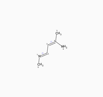 C/N=C/C=C(/C)N